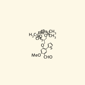 COc1cc(OCC(CO[Si](C)(C)C(C)(C)C)CO[Si](C)(C)C(C)(C)C)c(-c2cccs2)cc1C=O